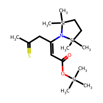 CC(=S)CC(=CC(=O)O[Si](C)(C)C)N1[Si](C)(C)CC[Si]1(C)C